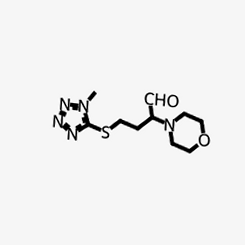 Cn1nnnc1SCCC(C=O)N1CCOCC1